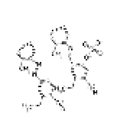 CCc1cc(N=Nc2ccccc2C)ccc1[N+]#N.CCc1cc(N=Nc2ccccc2C)ccc1[N+]#N.O=S(=O)([O-])[O-]